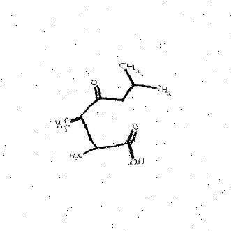 CC(C)CC(=O)C(C)C(C)C(=O)O